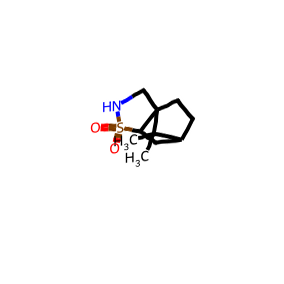 CC1(C)C2[CH]C3C1(CC2)CNS3(=O)=O